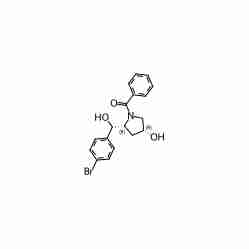 O=C(c1ccccc1)N1C[C@H](O)C[C@@H]1C(O)c1ccc(Br)cc1